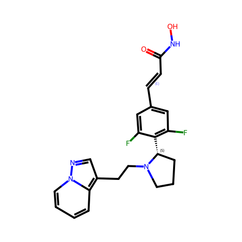 O=C(/C=C/c1cc(F)c([C@@H]2CCCN2CCc2cnn3ccccc23)c(F)c1)NO